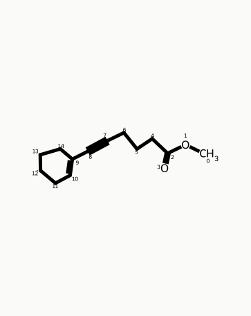 COC(=O)CCCC#CC1=CC[CH]CC1